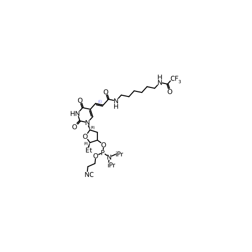 [C-]#[N+]CCOP(OC1C[C@H](n2cc(/C=C/C(=O)NCCCCCCNC(=O)C(F)(F)F)c(=O)[nH]c2=O)O[C@@H]1CC)N(C(C)C)C(C)C